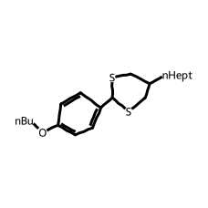 CCCCCCCC1CSC(c2ccc(OCCCC)cc2)SC1